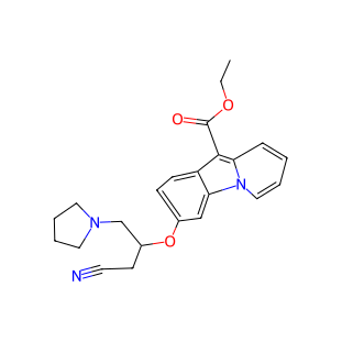 CCOC(=O)c1c2ccc(OC(CC#N)CN3CCCC3)cc2n2ccccc12